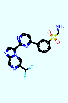 NCS(=O)(=O)c1cccc(-c2ccnc(-c3cnc4cnc(C(F)F)cn34)n2)c1